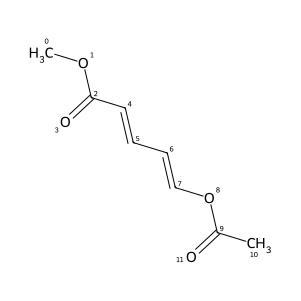 COC(=O)C=CC=COC(C)=O